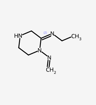 C=NN1CCNC/C1=N/CC